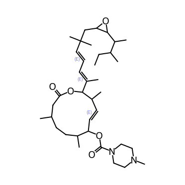 CCC(C)C(C)C1OC1CC(C)(C)/C=C/C=C(\C)C1OC(=O)CC(C)CCC(C)C(OC(=O)N2CCN(C)CC2)/C=C/C1C